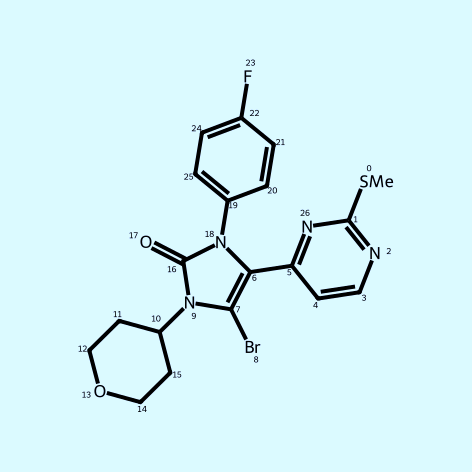 CSc1nccc(-c2c(Br)n(C3CCOCC3)c(=O)n2-c2ccc(F)cc2)n1